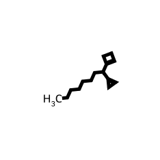 CCCCCCC[C](C1=CC1)C1=CCC1